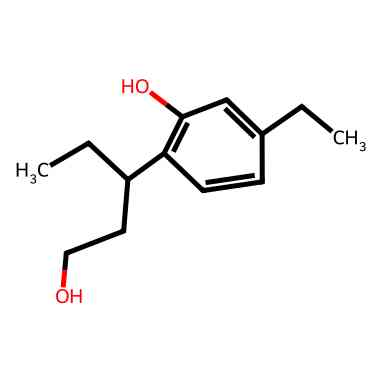 CCc1ccc(C(CC)CCO)c(O)c1